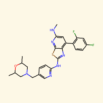 CNc1cc(-c2ccc(F)cc2F)c2nc(Nc3ccc(CN4CC(C)OC(C)C4)cn3)sc2n1